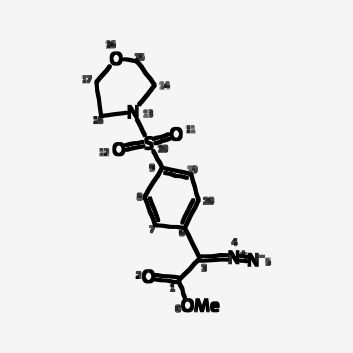 COC(=O)C(=[N+]=[N-])c1ccc(S(=O)(=O)N2CCOCC2)cc1